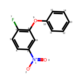 O=[N+]([O-])c1ccc(F)c(Oc2ccccc2)c1